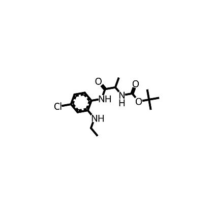 CCNc1cc(Cl)ccc1NC(=O)C(C)NC(=O)OC(C)(C)C